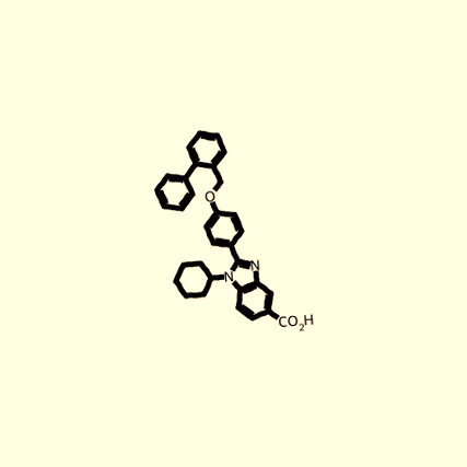 O=C(O)c1ccc2c(c1)nc(-c1ccc(OCc3ccccc3-c3ccccc3)cc1)n2C1CCCCC1